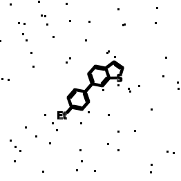 CCc1ccc(-c2ccc3ccsc3c2)cc1